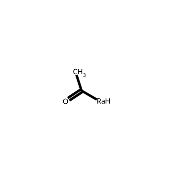 C[C](=O)[RaH]